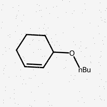 CCCCOC1C=CCCC1